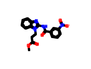 COC(=O)CCn1c(NC(=O)c2cccc([N+](=O)[O-])c2)nc2ccccc21